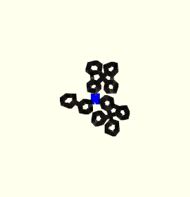 c1ccc(-c2cccc(N(c3ccc4c(c3)C(c3ccccc3)(c3ccccc3)c3ccccc3-4)c3ccc4c(c3)C3(c5ccccc5-c5ccccc53)c3ccccc3-4)c2)cc1